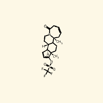 C[C@]12CCC3[C@@H](CCN4C(=O)CC=CC[C@]34C)[C@@H]1CC=C2OS(=O)(=O)C(F)(F)F